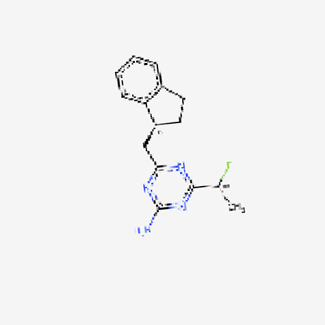 C[C@@H](F)c1nc(N)nc(C[C@@H]2CCc3ccccc32)n1